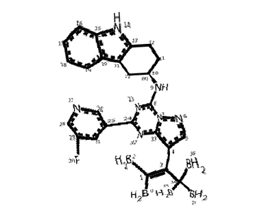 BC(B)=C(c1cnn2c(N[C@@H]3CCc4[nH]c5ccccc5c4C3)nc(-c3cncc(F)c3)nc12)C(B)(B)B